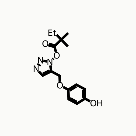 CCC(C)(C)C(=O)On1nncc1COc1ccc(O)cc1